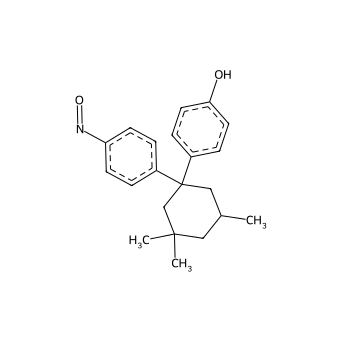 CC1CC(C)(C)CC(c2ccc(O)cc2)(c2ccc(N=O)cc2)C1